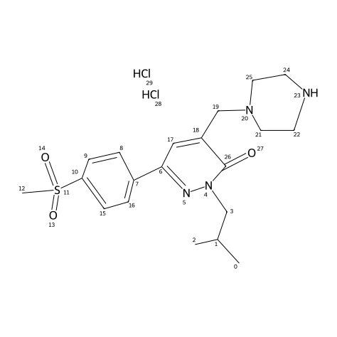 CC(C)Cn1nc(-c2ccc(S(C)(=O)=O)cc2)cc(CN2CCNCC2)c1=O.Cl.Cl